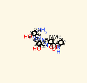 CNc1cc(C2C(=O)Nc3ccccc32)c(O)c2c1CN1CN2Cc2c(O)cc3c(c21)N1Cc2c(N)ccc(O)c2N(C3)C1